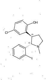 CN1CC[C@H](c2cc(Cl)ccc2O)[C@H]1c1ccccc1I